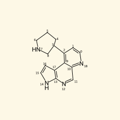 c1cc(C2CCCNC2)c2c(cnc3[nH]ccc32)n1